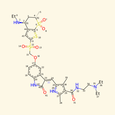 CCN[C@H]1C[C@H](C)S(=O)(=O)c2sc(S(=O)(=O)COc3ccc4c(c3)/C(=C/c3[nH]c(C)c(C(=O)NCCN(CC)CC)c3C)C(=O)N4)cc21